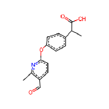 Cc1nc(Oc2ccc(C(C)C(=O)O)cc2)ccc1C=O